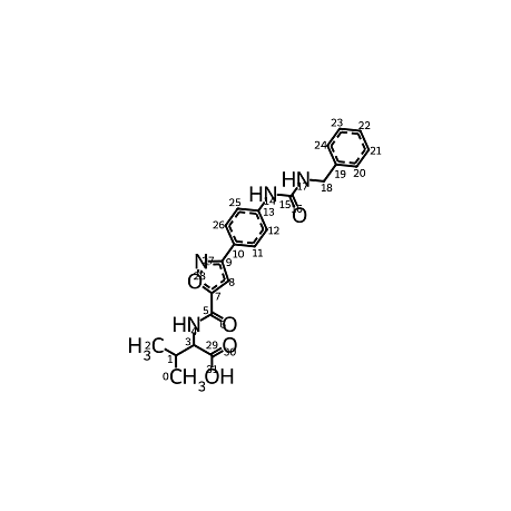 CC(C)C(NC(=O)c1cc(-c2ccc(NC(=O)NCc3ccccc3)cc2)no1)C(=O)O